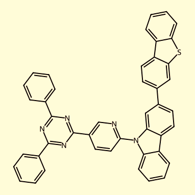 c1ccc(-c2nc(-c3ccccc3)nc(-c3ccc(-n4c5ccccc5c5ccc(-c6ccc7c(c6)sc6ccccc67)cc54)nc3)n2)cc1